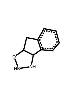 B1NC2c3ccccc3CC2O1